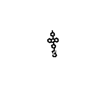 Cc1ccc(-c2c3ccccc3c(-c3ccc(-c4cn5ccccc5n4)cc3)c3ccccc23)cc1